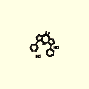 CC(C)=C1C=CC(c2ccccc2)=[C]1[Zr][C]1=C(c2ccccc2)C=CC1=C(C)C.Cl.Cl